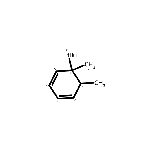 CC1C=CC=CC1(C)C(C)(C)C